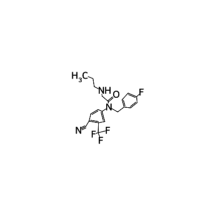 CCCNCC(=O)N(Cc1ccc(F)cc1)c1ccc(C#N)c(C(F)(F)F)c1